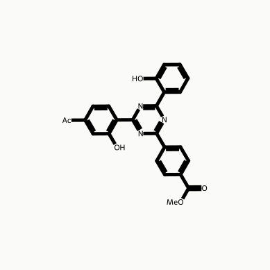 COC(=O)c1ccc(-c2nc(-c3ccccc3O)nc(-c3ccc(C(C)=O)cc3O)n2)cc1